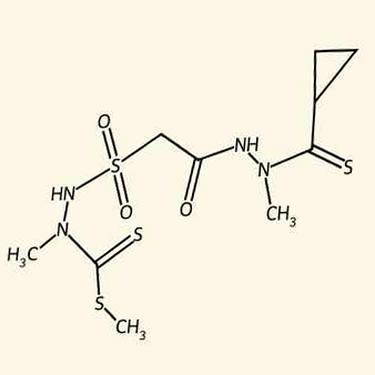 CSC(=S)N(C)NS(=O)(=O)CC(=O)NN(C)C(=S)C1CC1